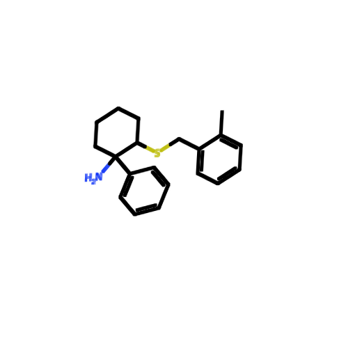 Cc1ccccc1CSC1CCCCC1(N)c1ccccc1